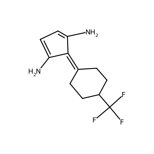 NC1=CC=C(N)C1=C1CCC(C(F)(F)F)CC1